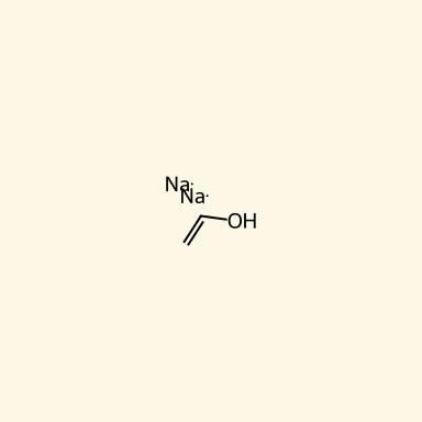 C=CO.[Na].[Na]